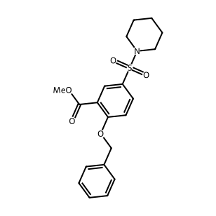 COC(=O)c1cc(S(=O)(=O)N2CCCCC2)ccc1OCc1ccccc1